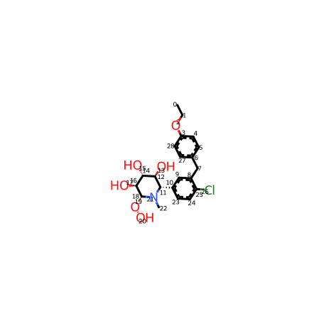 CCOc1ccc(Cc2cc([C@H]3[C@H](O)[C@@H](O)[C@H](O)[C@@H](OO)N3C)ccc2Cl)cc1